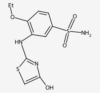 CCOc1ccc(S(N)(=O)=O)cc1Nc1nc(O)cs1